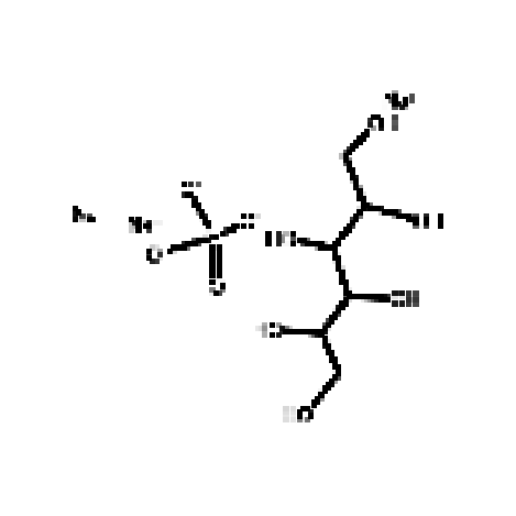 O=P([O-])([O-])[O-].OCC(O)C(O)C(O)C(O)CO.[Na+].[Na+].[Na+]